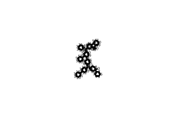 CC1(c2ccccc2)C=CC(N(c2ccc(-c3ccccc3)cc2)c2ccc(-c3ccc(N(c4ccccc4)C4C=CC5=C(C4)C(C)(C)c4ccccc45)cc3-c3ccccc3)cc2)=CC1